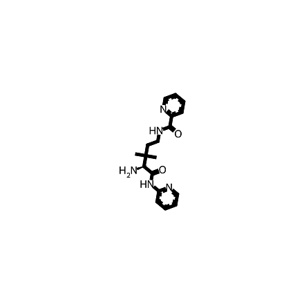 CC(C)(CCNC(=O)c1ccccn1)[C@H](N)C(=O)Nc1ccccn1